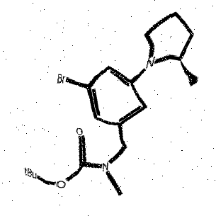 C[C@@H]1CCCN1c1cc(Br)cc(CN(C)C(=O)OC(C)(C)C)c1